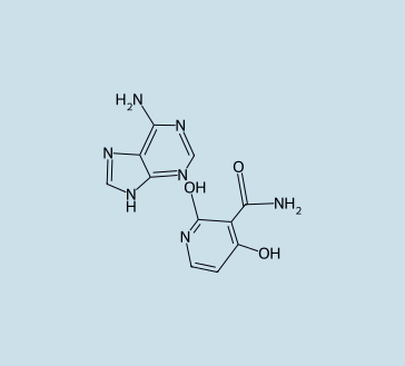 NC(=O)c1c(O)ccnc1O.Nc1ncnc2[nH]cnc12